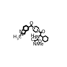 CNC(C)C(=O)NC(C(=O)N1CCN(C(=O)c2ccc3nn(C)cc3c2)CC1)C1CCCCC1